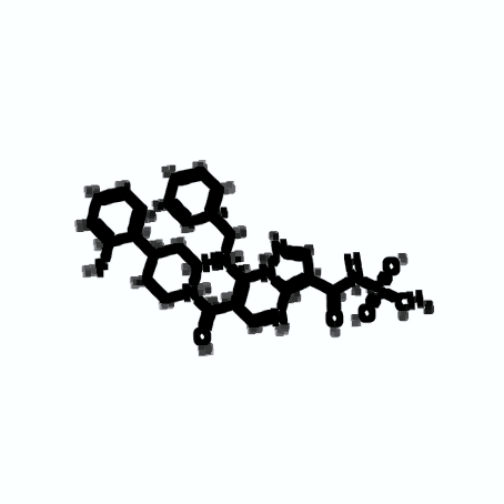 CS(=O)(=O)NC(=O)c1cnn2c(NCc3ccccc3)c(C(=O)N3CCC(c4ccccc4F)CC3)cnc12